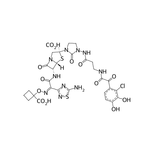 Nc1nc(/C(=N/OC2(C(=O)O)CCC2)C(=O)N[C@@H]2C(=O)N3C[C@@](C(=O)O)(N4CCN(NC(=O)CCNC(=O)C(=O)c5ccc(O)c(O)c5Cl)C4=O)S[C@H]23)ns1